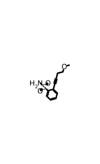 COCCC#Cc1ccccc1S(N)(=O)=O